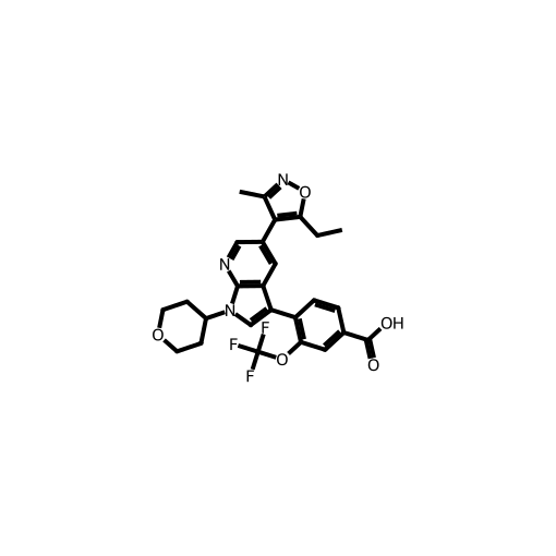 CCc1onc(C)c1-c1cnc2c(c1)c(-c1ccc(C(=O)O)cc1OC(F)(F)F)cn2C1CCOCC1